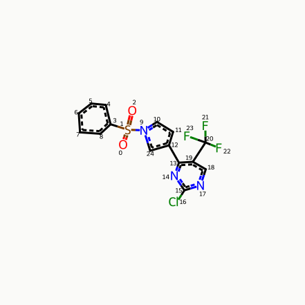 O=S(=O)(c1ccccc1)n1ccc(-c2nc(Cl)ncc2C(F)(F)F)c1